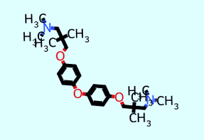 CN(C)CC(C)(C)COc1ccc(Oc2ccc(OCC(C)(C)CN(C)C)cc2)cc1